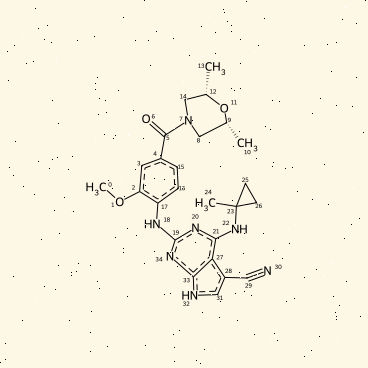 COc1cc(C(=O)N2C[C@@H](C)O[C@@H](C)C2)ccc1Nc1nc(NC2(C)CC2)c2c(C#N)c[nH]c2n1